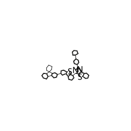 c1ccc(-c2ccc(-c3nc(-c4cccc5c4sc4ccc(-c6ccc7c(c6)C6(CCCCC6)c6ccccc6-7)cc45)c4sc5ccccc5c4n3)cc2)cc1